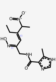 CC/C(=C\C(CNC(=O)c1nc[nH]c1C)=N/O)C(C)[N+](=O)[O-]